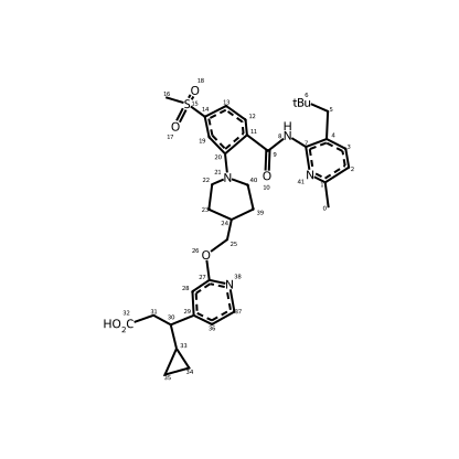 Cc1ccc(CC(C)(C)C)c(NC(=O)c2ccc(S(C)(=O)=O)cc2N2CCC(COc3cc(C(CC(=O)O)C4CC4)ccn3)CC2)n1